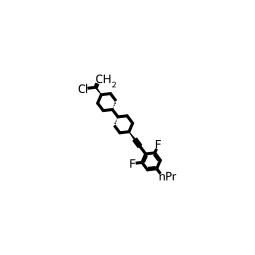 C=C(Cl)[C@H]1CC[C@H]([C@H]2CC[C@H](C#Cc3c(F)cc(CCC)cc3F)CC2)CC1